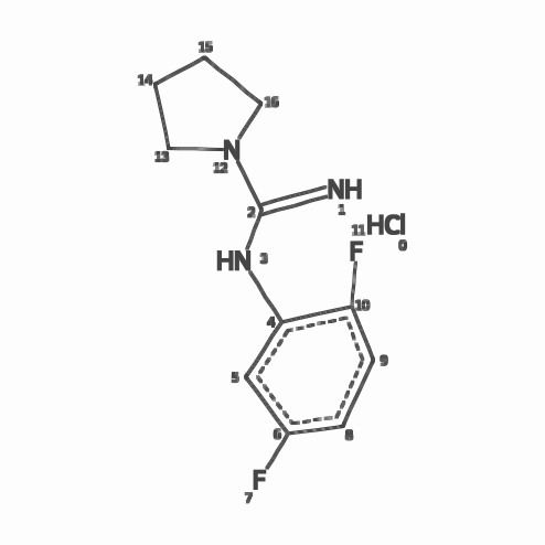 Cl.N=C(Nc1cc(F)ccc1F)N1CCCC1